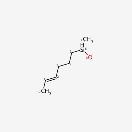 CC=CCCC[SiH](C)[O]